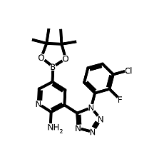 CC1(C)OB(c2cnc(N)c(-c3nnnn3-c3cccc(Cl)c3F)c2)OC1(C)C